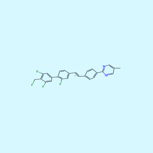 Cc1cnc(-c2ccc(/C=C/c3ccc(-c4cc(F)c(CF)c(F)c4)c(F)c3)cc2)nc1